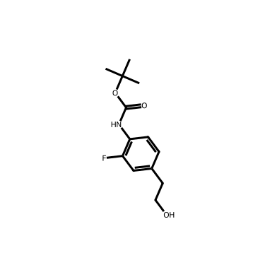 CC(C)(C)OC(=O)Nc1ccc(CCO)cc1F